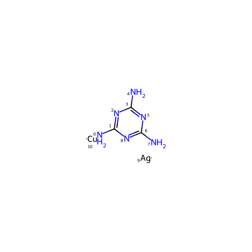 Nc1nc(N)nc(N)n1.[Ag].[Cu]